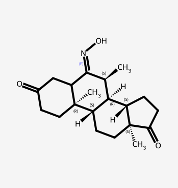 C[C@@H]1/C(=N\O)C2CC(=O)CC[C@]2(C)[C@H]2CC[C@]3(C)C(=O)CC[C@H]3[C@H]12